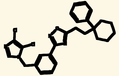 Clc1ncn(Cc2cccc(-c3noc(CCC4(c5ccccc5)CCCCC4)n3)c2)c1Cl